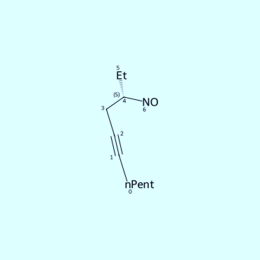 CCCCCC#CC[C@H](CC)N=O